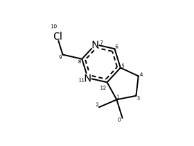 CC1(C)CCc2cnc(CCl)nc21